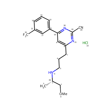 COC[C@H](C)NCCCc1cc(-c2cccc(C(F)(F)F)c2)nc(C#N)n1.Cl